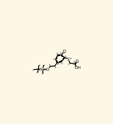 CC(C)(C)[Si](C)(C)OCCc1ccc(Cl)c(SCC(=O)O)c1